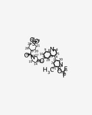 Cc1cc(-c2ccnc3ccc(O[C@H]4CCN(C(=O)C5CCS(=O)(=O)CC5)C4)cc23)cnc1OC(F)F